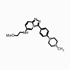 COCCNc1ccc2nnc(-c3ccc(N4CCN(C)CC4)cc3)n2c1